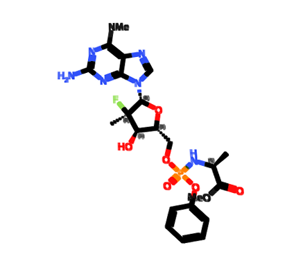 CNc1nc(N)nc2c1ncn2[C@@H]1O[C@H](COP(=O)(N[C@@H](C)C(=O)OC)Oc2ccccc2)[C@@H](O)[C@@]1(C)F